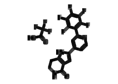 O=C(O)C(F)(F)F.O=C1NCCc2[nH]c(-c3ccnc(-c4c(F)c(F)c(F)c(F)c4F)c3)cc21